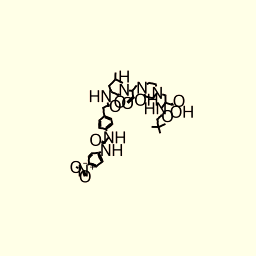 CC(C)CC(NC(=O)Cc1ccc(NC(=O)Nc2ccc([N+](=O)[O-])cc2)cc1)C(=O)NC(CN1CCN(CC(NC(=O)CC(C)(C)C)C(=O)O)CC1)C(=O)O